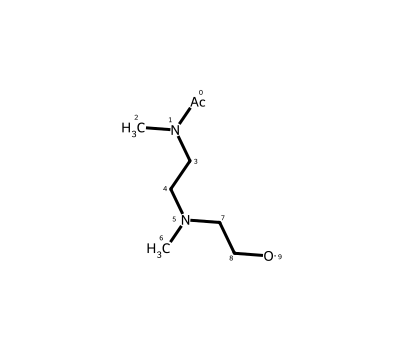 CC(=O)N(C)CCN(C)CC[O]